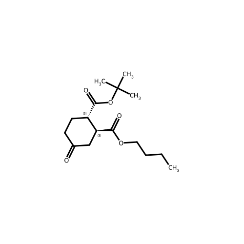 CCCCOC(=O)[C@H]1CC(=O)CC[C@@H]1C(=O)OC(C)(C)C